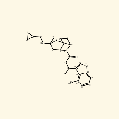 CC(CC(=O)N1C2CC3CC1CC(OCC1CC1)(C3)C2)c1c[nH]c2cccc(F)c12